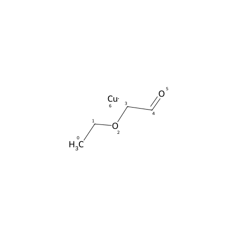 CCOCC=O.[Cu]